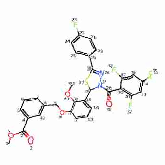 COC(=O)c1cccc(COc2cccc(C3SC(c4ccc(F)cc4)=NN3C(=O)c3c(F)cc(F)cc3F)c2OC)c1